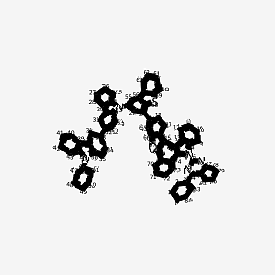 c1ccc(-c2nc(-n3c4ccccc4c4c5c6ccc(-c7cc(-n8c9ccccc9c9cc(-c%10ccc%11c(c%10)c%10ccccc%10n%11-c%10ccccc%10)ccc98)cc8c7sc7ccccc78)cc6oc5c5ccccc5c43)nc3ccccc23)cc1